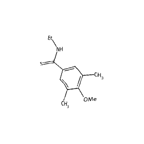 CCNC(=S)c1cc(C)c(OC)c(C)c1